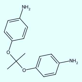 CC(C)(Oc1ccc(N)cc1)Oc1ccc(N)cc1